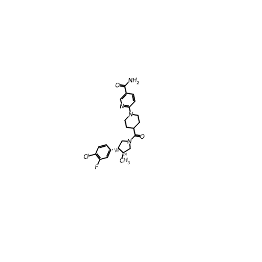 C[C@@H]1CN(C(=O)C2CCN(c3ccc(C(N)=O)cn3)CC2)C[C@H]1c1ccc(Cl)c(F)c1